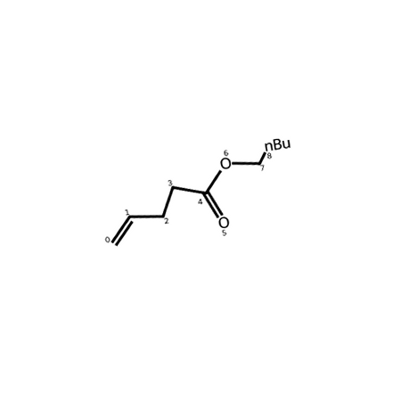 C=CCCC(=O)OCCCCC